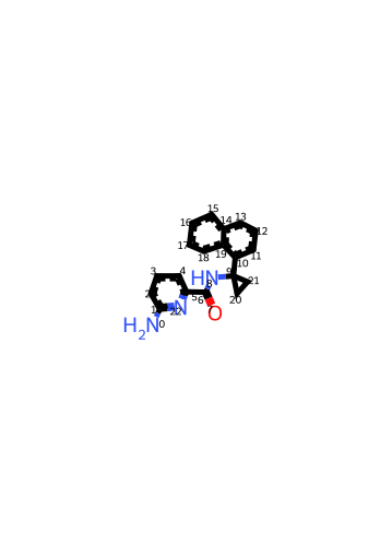 Nc1cccc(C(=O)NC2(c3cccc4ccccc34)CC2)n1